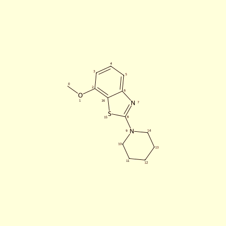 COc1cccc2nc(N3CCCCC3)sc12